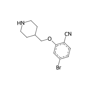 N#Cc1ccc(Br)cc1OCC1CCNCC1